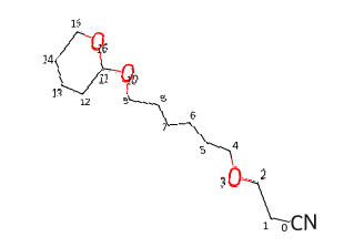 N#CCCOCCCCCCOC1CCCCO1